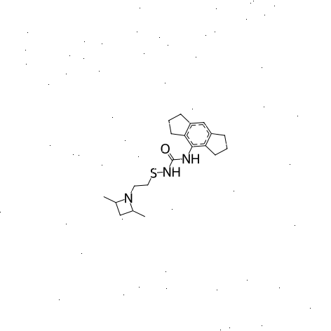 CC1CC(C)N1CCSNC(=O)Nc1c2c(cc3c1CCC3)CCC2